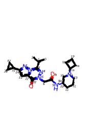 CC(C)c1nn(CC(=O)N[C@@H]2CCCN(C3CCC3)C2)c(=O)c2cc(C3CC3)nn12